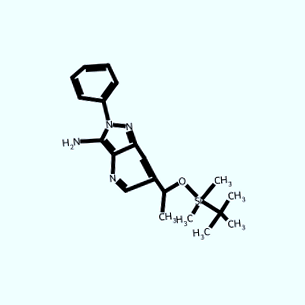 CC(O[Si](C)(C)C(C)(C)C)c1cnc2c(N)n(-c3ccccc3)nc2c1